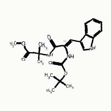 COC(=O)C(C)(C)NC(=O)/C(=C/c1c[nH]c2ccccc12)NC(=O)OC(C)(C)C